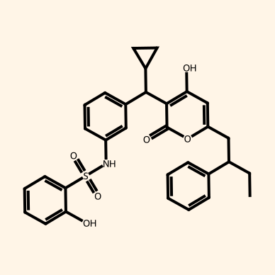 CCC(Cc1cc(O)c(C(c2cccc(NS(=O)(=O)c3ccccc3O)c2)C2CC2)c(=O)o1)c1ccccc1